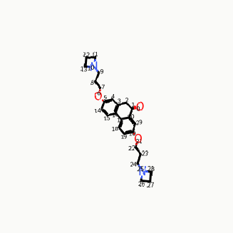 O=C1Cc2cc(OCCCN3CCC3)ccc2-c2ccc(OCCCN3CCC3)cc21